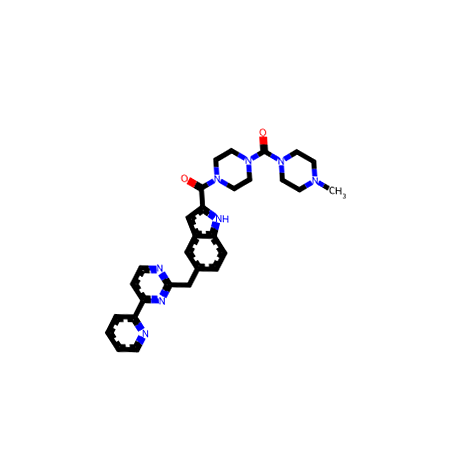 CN1CCN(C(=O)N2CCN(C(=O)c3cc4cc(Cc5nccc(-c6ccccn6)n5)ccc4[nH]3)CC2)CC1